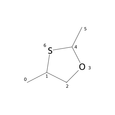 CC1COC(C)S1